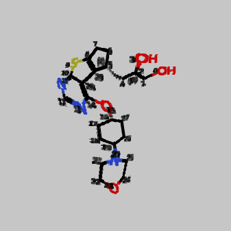 OC[C@H](O)C[C@H]1CCc2sc3ncnc(O[C@H]4CC[C@H](N5CCOCC5)CC4)c3c21